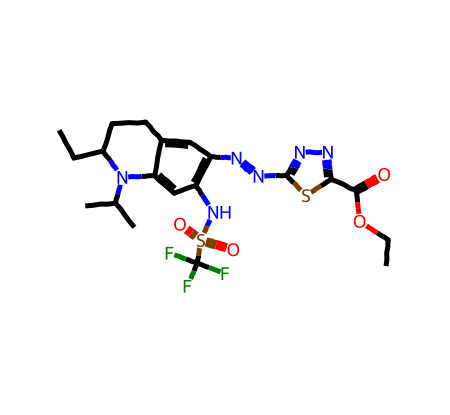 CCOC(=O)c1nnc(N=Nc2cc3c(cc2NS(=O)(=O)C(F)(F)F)N(C(C)C)C(CC)CC3)s1